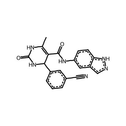 CC1=C(C(=O)Nc2ccc3[nH]ncc3c2)C(c2cccc(C#N)c2)NC(=O)N1